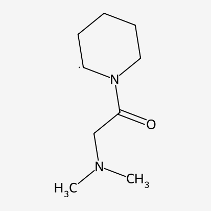 CN(C)CC(=O)N1[CH]CCCC1